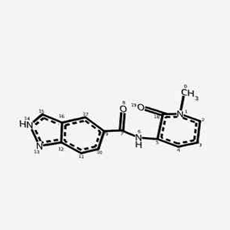 Cn1cccc(NC(=O)c2ccc3n[nH]cc3c2)c1=O